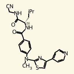 CC(C)C[C@H](NC(=O)c1ccc(N(C)c2nc(-c3ccncc3)cs2)cc1)C(=O)NCC#N